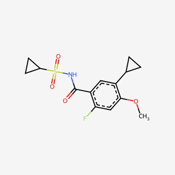 COc1cc(F)c(C(=O)NS(=O)(=O)C2CC2)cc1C1CC1